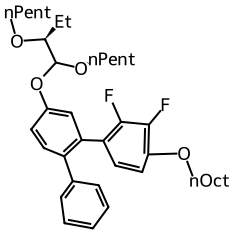 CCCCCCCCOc1ccc(-c2cc(OC(OCCCCC)[C@H](CC)OCCCCC)ccc2-c2ccccc2)c(F)c1F